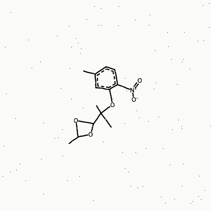 Cc1ccc([N+](=O)[O-])c(OC(C)(C)C2OC(C)O2)c1